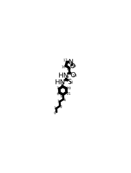 CCCCCc1ccc(NC(=S)NC(=O)c2ccno2)cc1